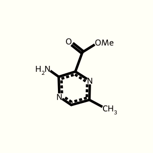 COC(=O)c1nc(C)cnc1N